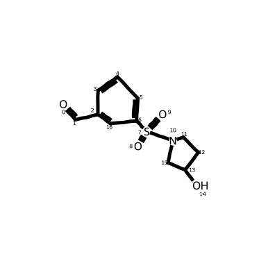 O=Cc1cccc(S(=O)(=O)N2CCC(O)C2)c1